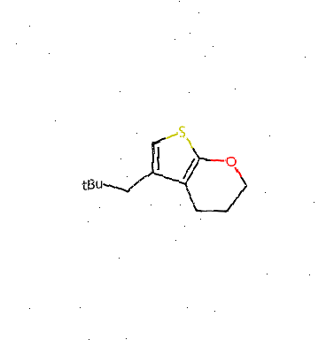 CC(C)(C)Cc1csc2c1CCCO2